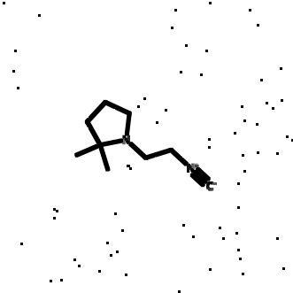 [C-]#[N+]CCN1CCCC1(C)C